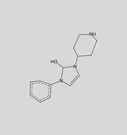 OC1N(c2ccccc2)C=CN1C1CCNCC1